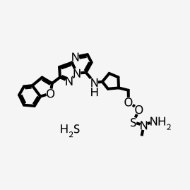 CN(N)SOOCC1CCC(Nc2ccnc3cc(-c4cc5ccccc5o4)nn23)C1.S